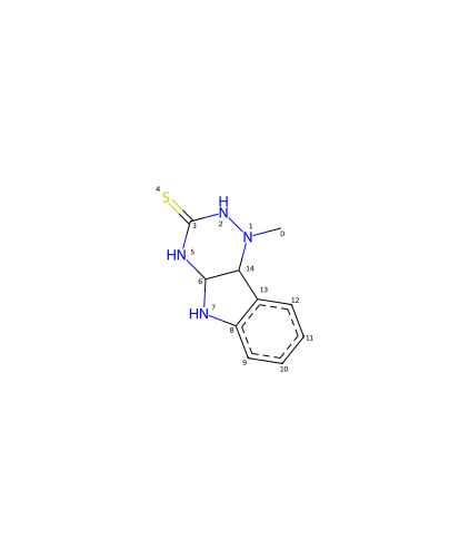 CN1NC(=S)NC2Nc3ccccc3C21